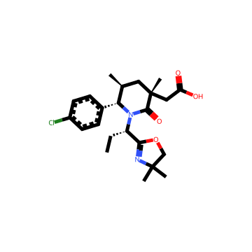 CC[C@@H](C1=NC(C)(C)CO1)N1C(=O)[C@@](C)(CC(=O)O)C[C@H](C)[C@H]1c1ccc(Cl)cc1